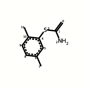 C=C(N)Sc1cc(C)ccc1C